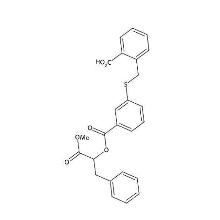 COC(=O)C(Cc1ccccc1)OC(=O)c1cccc(SCc2ccccc2C(=O)O)c1